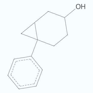 OC1CCC2(c3ccccc3)CC2C1